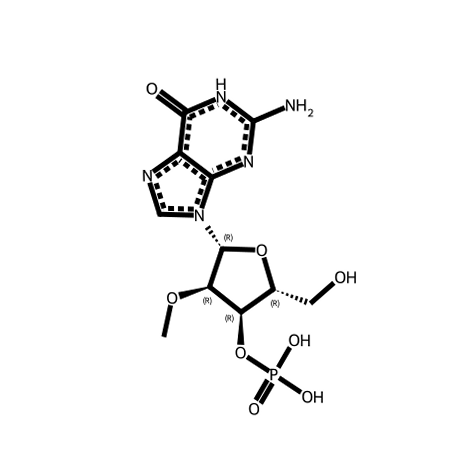 CO[C@@H]1[C@H](OP(=O)(O)O)[C@@H](CO)O[C@H]1n1cnc2c(=O)[nH]c(N)nc21